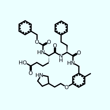 Cc1ccc(OCCC2CCNC2)cc1CNC(=O)[C@H](CCc1ccccc1)NC(=O)[C@H](CCCC(=O)O)NC(=O)OCc1ccccc1